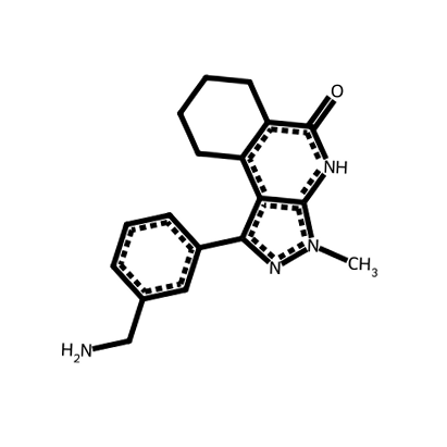 Cn1nc(-c2cccc(CN)c2)c2c3c(c(=O)[nH]c21)CCCC3